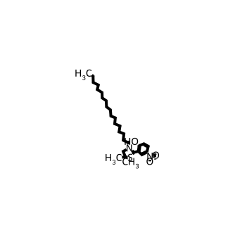 CCCCCCCCCCCCCCCCCCN1CC(C)(C)SC1c1cc([N+](=O)[O-])ccc1O